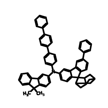 CC1(C)c2ccccc2-c2cc(N(c3ccc(-c4ccc(-c5ccccc5)cc4)cc3)c3ccc4c(c3)-c3cc(-c5ccccc5)ccc3C43C4CC5CC(C4)C3C5)ccc21